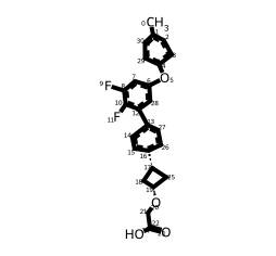 Cc1ccc(Oc2cc(F)c(F)c(-c3ccc([C@H]4C[C@@H](OCC(=O)O)C4)cc3)c2)cc1